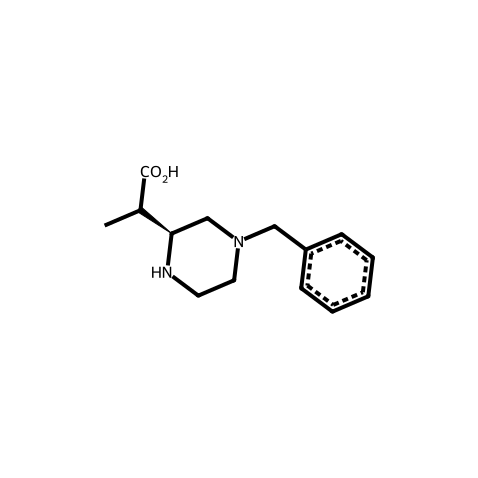 CC(C(=O)O)[C@H]1CN(Cc2ccccc2)CCN1